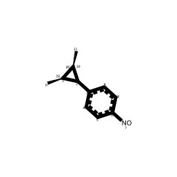 C[C@@H]1C(c2ccc(N=O)cc2)[C@@H]1C